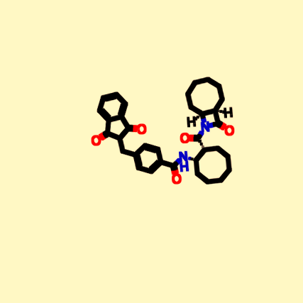 O=C(N[C@H]1CCCCCC[C@H]1C(=O)N1C(=O)[C@@H]2CCCCCC[C@@H]21)c1ccc(CC2C(=O)c3ccccc3C2=O)cc1